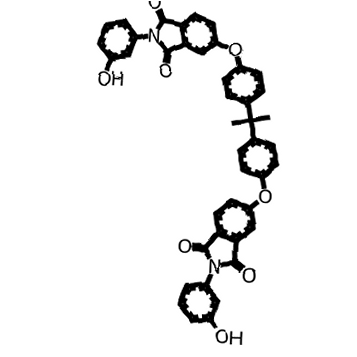 CC(C)(c1ccc(Oc2ccc3c(c2)C(=O)N(c2cccc(O)c2)C3=O)cc1)c1ccc(Oc2ccc3c(c2)C(=O)N(c2cccc(O)c2)C3=O)cc1